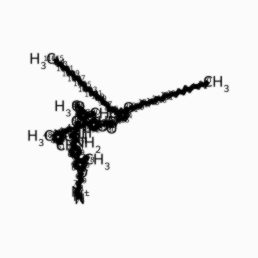 CCCCCCCCCCCCCCCCCCCCCCOc1ccc(CNC(=O)COc2ccc(C(NC(=O)[C@H](CCCc3cc(C)cc(C)c3)NC(=O)[C@@H](N)Cc3ccc(-c4ccc(OCCCCN=[N+]=[N-])cc4CC)cc3)c3ccc(OC)cc3OC)cc2)c(OCCCCCCCCCCCCCCCCCCCCCC)c1